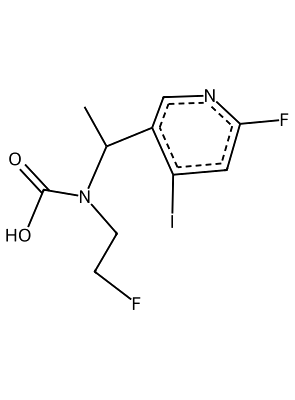 CC(c1cnc(F)cc1I)N(CCF)C(=O)O